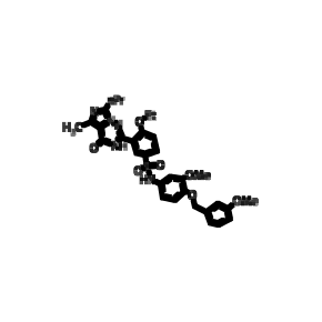 CCCc1nc(C)c2c(=O)[nH]c(-c3cc(S(=O)(=O)Nc4ccc(OCc5cccc(OC)c5)c(OC)c4)ccc3OCC)nn12